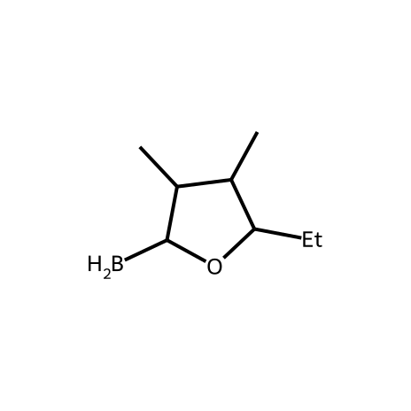 BC1OC(CC)C(C)C1C